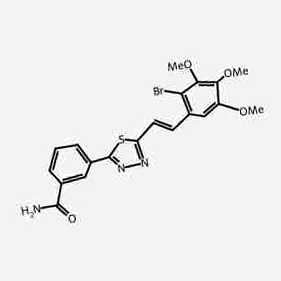 COc1cc(C=Cc2nnc(-c3cccc(C(N)=O)c3)s2)c(Br)c(OC)c1OC